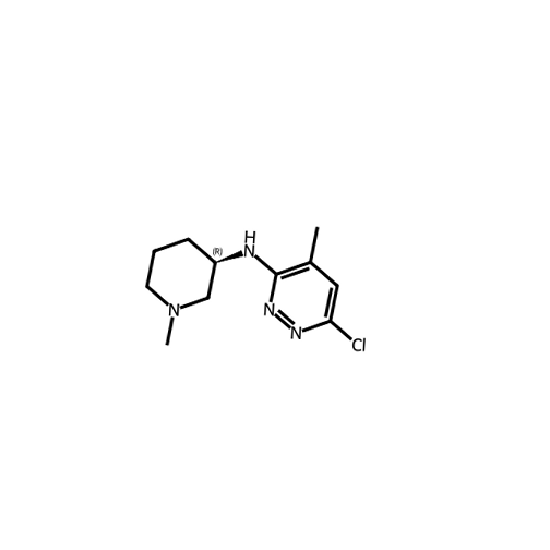 Cc1cc(Cl)nnc1N[C@@H]1CCCN(C)C1